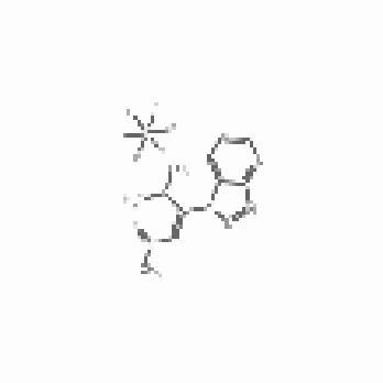 CN(C)C(=C[N+](C)=O)n1nnc2ncccc21.F[P-](F)(F)(F)(F)F